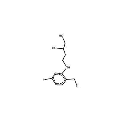 [O]Cc1ccc(F)cc1NCCC(O)CO